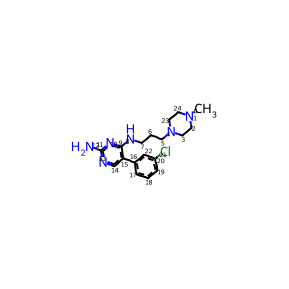 CN1CCN(CCCNc2nc(N)ncc2-c2cccc(Cl)c2)CC1